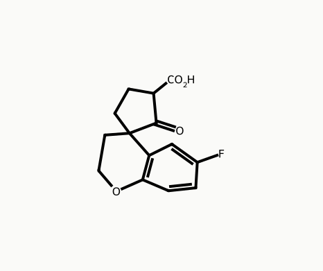 O=C(O)C1CCC2(CCOc3ccc(F)cc32)C1=O